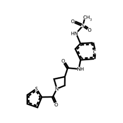 CS(=O)(=O)Nc1cccc(NC(=O)C2CN(C(=O)c3cccs3)C2)c1